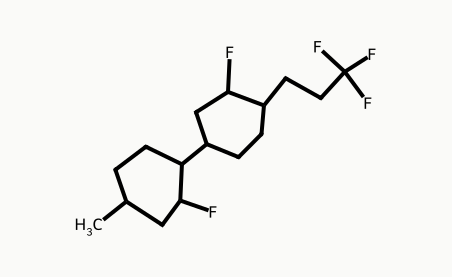 CC1CCC(C2CCC(CCC(F)(F)F)C(F)C2)C(F)C1